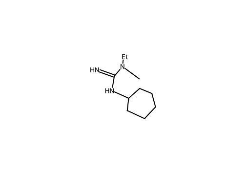 CCN(C)C(=N)NC1CCCCC1